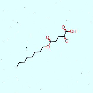 CCCCCCCCOC(=O)CCC(=O)C(=O)O